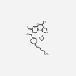 CCc1cc2[nH]c(=O)c3cnn(C4CCC4)c3c2cc1C(=O)N1CCN(CCCCOC)[C@H](C)C1